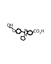 O=C(O)c1ccc2c(c1)nc(-c1ccc(OCCO)cc1)n2C1CCCC1